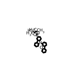 CC1(C)OB(c2ccc3c(c2)c2ccccc2n3-c2cccc3c2oc2ccccc23)OC1(C)C